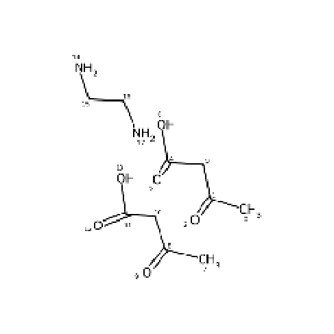 CC(=O)CC(=O)O.CC(=O)CC(=O)O.NCCN